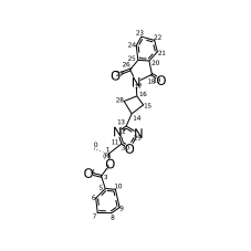 C[C@@H](OC(=O)c1ccccc1)c1nc(C2CC(N3C(=O)c4ccccc4C3=O)C2)no1